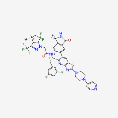 O=C(Cn1nc(C(F)(F)F)c2c1C(F)(F)C1C[C@H]21)N[C@@H](Cc1cc(F)cc(F)c1)c1nc2nc(N3CCN(c4ccncc4)CC3)sc2cc1-c1ccc2c(c1)C(=O)NC21CC1